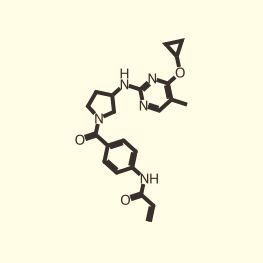 C=CC(=O)Nc1ccc(C(=O)N2CCC(Nc3ncc(C)c(OC4CC4)n3)C2)cc1